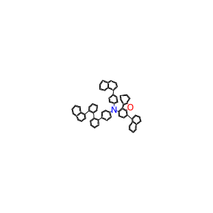 c1ccc(-c2ccccc2-c2cccc3ccccc23)c(-c2ccc(N(c3ccc(-c4cccc5ccccc45)cc3)c3ccc(-c4cccc5ccccc45)c4oc5ccccc5c34)cc2)c1